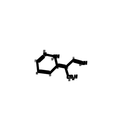 N=C/C(C(=O)O)=C1/C=CC=NN1